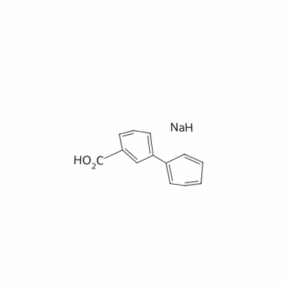 O=C(O)c1cccc(-c2ccccc2)c1.[NaH]